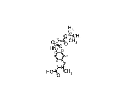 CN(CC(=O)O)Cc1ccc(NS(=O)(=O)CC(=O)OC(C)(C)C)cc1